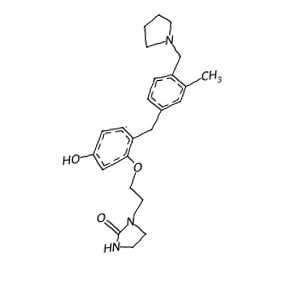 Cc1cc(Cc2[c]cc(O)cc2OCCN2CCNC2=O)ccc1CN1CCCC1